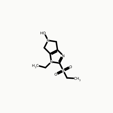 CCn1c(S(=O)(=O)CC)nc2c1CN(O)C2